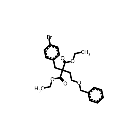 CCOC(=O)C(CCOCc1ccccc1)(Cc1ccc(Br)cc1)C(=O)OCC